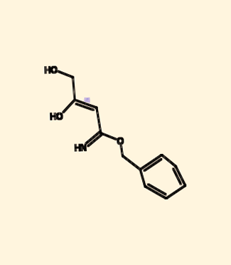 N=C(/C=C(\O)CO)OCc1ccccc1